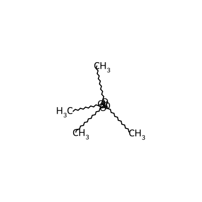 CCCCCCCCCCCCCCO[Si](OCCCCCCCCCCCC)(OCCCCCCCCCCCCCC)OCCCCCCCCCCCCCC